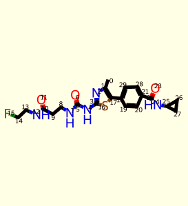 Cc1nc(NC(=O)NCCC(=O)NCCF)sc1-c1ccc(C(=O)NC2CC2)cc1